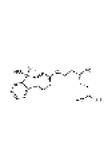 CC(=O)N(CCOc1ccc2c(c1)C(O)(C(F)(F)F)c1ccccc1-2)CCC(O)O